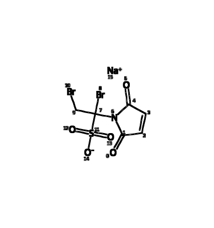 O=C1C=CC(=O)N1C(Br)(CBr)S(=O)(=O)[O-].[Na+]